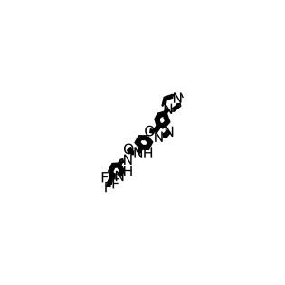 CN1CCCN(c2ccc3c(Oc4ccc(NC(=O)NCc5ccc(C(F)(F)F)nc5)cc4)ncnc3c2)CC1